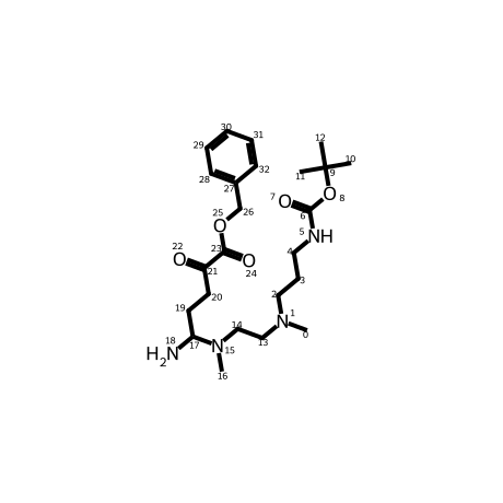 CN(CCCNC(=O)OC(C)(C)C)CCN(C)C(N)CCC(=O)C(=O)OCc1ccccc1